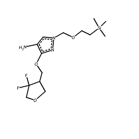 C[Si](C)(C)CCOCn1cc(N)c(OCC2COCC2(F)F)n1